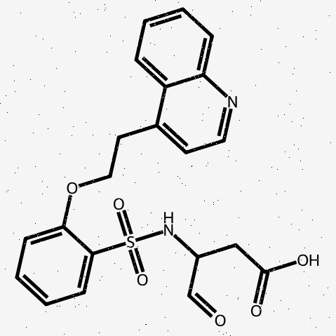 O=CC(CC(=O)O)NS(=O)(=O)c1ccccc1OCCc1ccnc2ccccc12